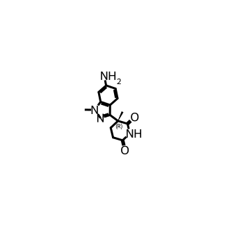 Cn1nc([C@@]2(C)CCC(=O)NC2=O)c2ccc(N)cc21